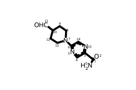 NC(=O)c1cnc(N2CCC(C=O)CC2)cn1